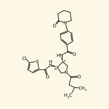 CC(C)CC(=O)N1C[C@H](NC(=O)c2ccc(N3CCCCC3=O)cc2)[C@H](NC(=O)c2ccc(Cl)s2)C1